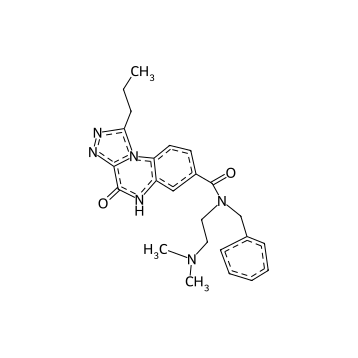 CCCc1nnc2c(=O)[nH]c3cc(C(=O)N(CCN(C)C)Cc4ccccc4)ccc3n12